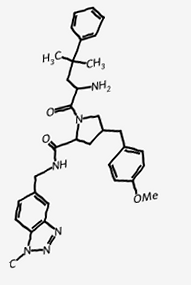 COc1ccc(CC2CC(C(=O)NCc3ccc4c(c3)nnn4C)N(C(=O)C(N)CC(C)(C)c3ccccc3)C2)cc1